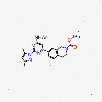 CC(=O)Nc1cc(-c2ccc3c(c2)CN(C(=O)OC(C)(C)C)CC3)nc(-n2nc(C)cc2C)n1